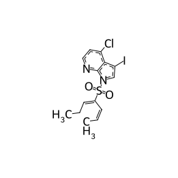 C/C=C\C(=C/CC)S(=O)(=O)n1cc(I)c2c(Cl)ccnc21